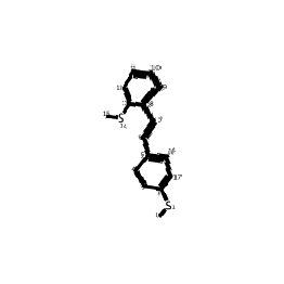 CSc1ccc(/C=C/c2ccccc2SC)cc1